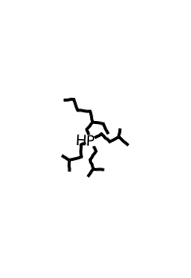 CCCCC(CC)C[PH](CCC(C)C)(CCC(C)C)CCC(C)C